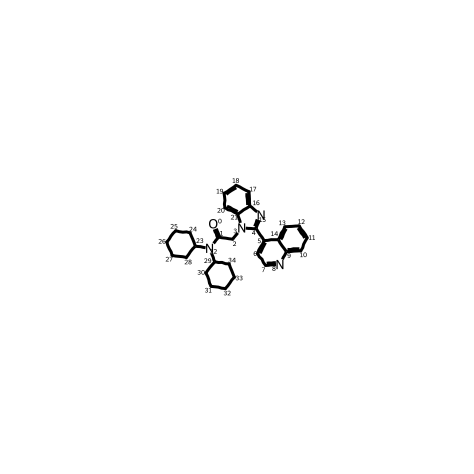 O=C(Cn1c(-c2ccnc3ccccc23)nc2ccccc21)N(C1CCCCC1)C1CCCCC1